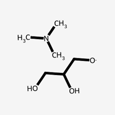 CN(C)C.[O]CC(O)CO